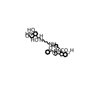 O=C(NCCCCNCC(O)c1ccc(O)c2[nH]c(=O)ccc12)c1ccc(CN[C@@]2(C(=O)O)c3ccccc3CC2C2CCN(Cc3ccccc3)C2)s1